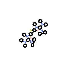 c1ccc(N(c2ccccc2)c2cc3c4c(c2)-n2c5ccccc5c5cccc(c52)B4c2cc4c(cc2N3c2ccccc2)sc2cc3c(cc24)B2c4c(cc(N(c5ccccc5)c5ccccc5)cc4-n4c5ccccc5c5cccc2c54)N3c2ccccc2)cc1